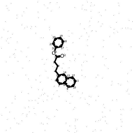 O=C(CCCc1ccc2ccccc2c1)Oc1ccccc1